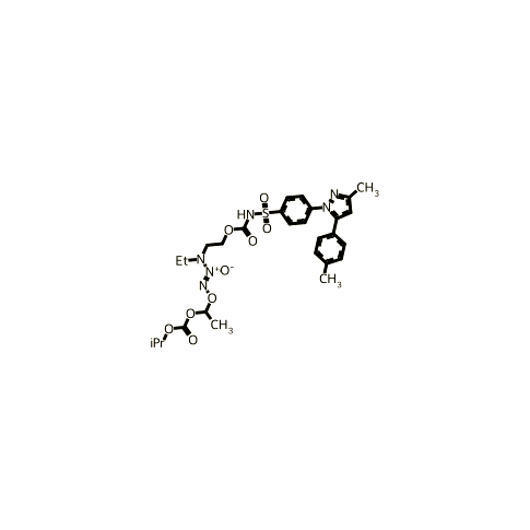 CCN(CCOC(=O)NS(=O)(=O)c1ccc(-n2nc(C)cc2-c2ccc(C)cc2)cc1)/[N+]([O-])=N/OC(C)OC(=O)OC(C)C